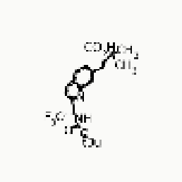 CC(C)(C)OC(=O)N[C@@H](c1ccc2ccc(/C=C/C(C)(C)C(=O)O)cc2n1)C(F)(F)F